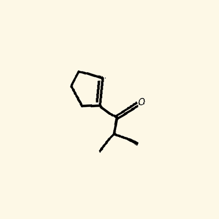 CC(C)C(=O)C1=[C]CCC1